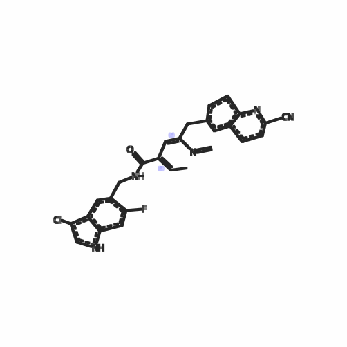 C=N/C(=C\C(=C/C)C(=O)NCc1cc2c(Cl)c[nH]c2cc1F)Cc1ccc2nc(C#N)ccc2c1